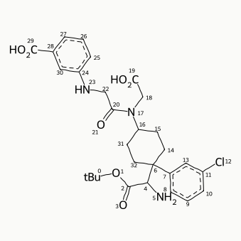 CC(C)(C)OC(=O)C(N)C1(c2cccc(Cl)c2)CCC(N(CC(=O)O)C(=O)CNc2cccc(C(=O)O)c2)CC1